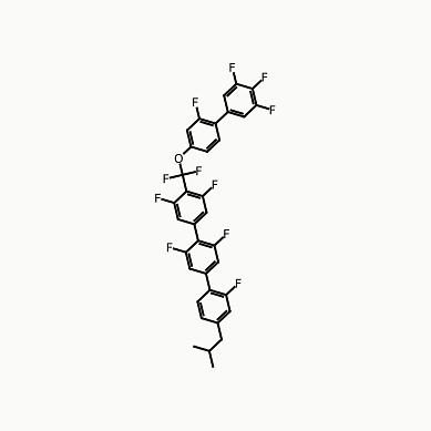 CC(C)Cc1ccc(-c2cc(F)c(-c3cc(F)c(C(F)(F)Oc4ccc(-c5cc(F)c(F)c(F)c5)c(F)c4)c(F)c3)c(F)c2)c(F)c1